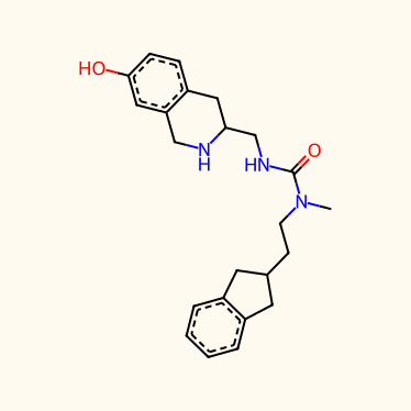 CN(CCC1Cc2ccccc2C1)C(=O)NCC1Cc2ccc(O)cc2CN1